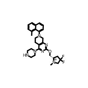 Cc1cccc2cccc(N3CCc4c(nc(OC[C@@H]5CC(F)(F)CN5C)nc4N4CCNCC4)C3)c12